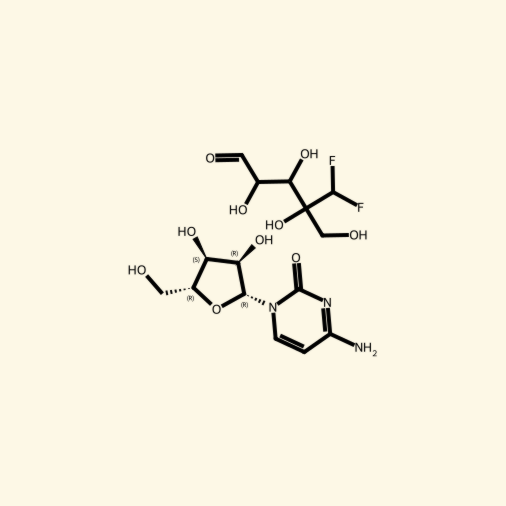 Nc1ccn([C@@H]2O[C@H](CO)[C@@H](O)[C@H]2O)c(=O)n1.O=CC(O)C(O)C(O)(CO)C(F)F